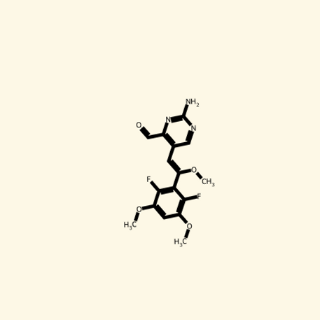 CO/C(=C\c1cnc(N)nc1C=O)c1c(F)c(OC)cc(OC)c1F